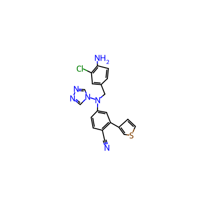 N#Cc1ccc(N(Cc2ccc(N)c(Cl)c2)n2cnnc2)cc1-c1ccsc1